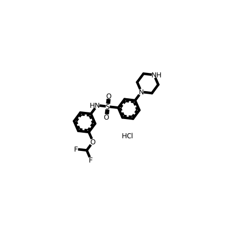 Cl.O=S(=O)(Nc1cccc(OC(F)F)c1)c1cccc(N2CCNCC2)c1